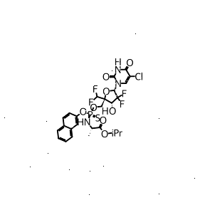 CC(C)OC(=O)[C@H](C)NP(=S)(OC[C@@]1(C(F)F)O[C@@H](n2cc(Cl)c(=O)[nH]c2=O)C(F)(F)[C@@H]1O)Oc1ccc2ccccc2c1